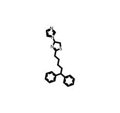 c1ccc(C(CCCCC2=NC(n3ccnc3)CS2)c2ccccc2)cc1